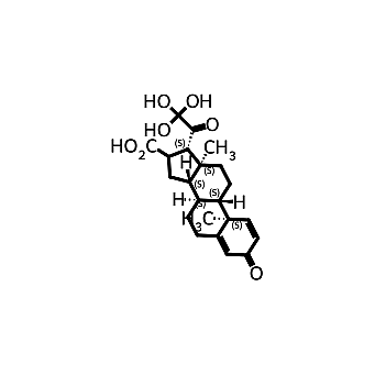 C[C@]12CC[C@H]3[C@@H](CCC4=CC(=O)C=C[C@@]43C)[C@@H]1CC(C(=O)O)[C@@H]2C(=O)C(O)(O)O